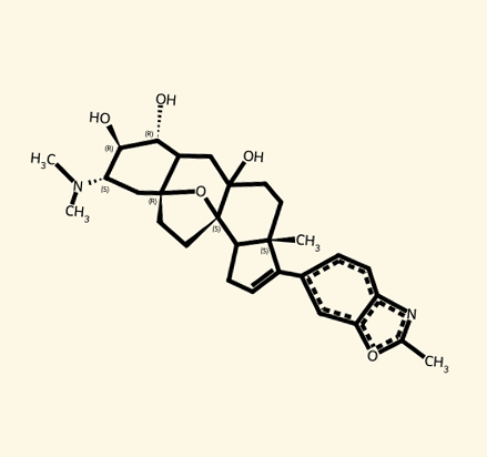 Cc1nc2ccc(C3=CCC4[C@@]56CC[C@]7(C[C@H](N(C)C)[C@@H](O)[C@H](O)C7CC5(O)CC[C@]34C)O6)cc2o1